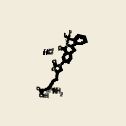 Cl.N[C@@H](CCC1CN(c2ccc3cc(-c4ccccc4C(F)(F)F)[nH]c(=O)c3c2)C(=O)O1)C(=O)O